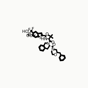 CC(C)(C)[C@H](NC(=O)c1cc2cc(C(F)(F)P(=O)(O)O)ccc2s1)C(=O)N1Cc2ccccc2C[C@H]1C(=O)N1CCOC(Cc2ccccc2)C1